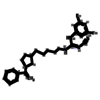 C=C(c1ccccc1)N1CCC(CCCCCN/C(=N/C#N)Nc2cc(F)nc(F)c2)C1